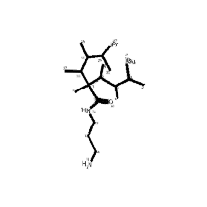 CCC(C)C(C)C(C)C(C)C(C)(C(=O)NCCCN)C(C)C(C)C(C)C(C)C